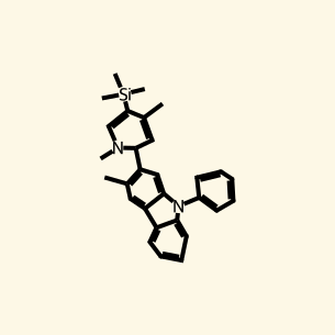 CC1=CC(c2cc3c(cc2C)c2ccccc2n3-c2ccccc2)N(C)C=C1[Si](C)(C)C